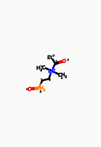 CCC(=O)[N+](C)(C)CC[PH2]=O